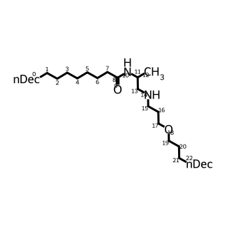 CCCCCCCCCCCCCCCCCC(=O)NC(C)CNCCCOCCCCCCCCCCCCC